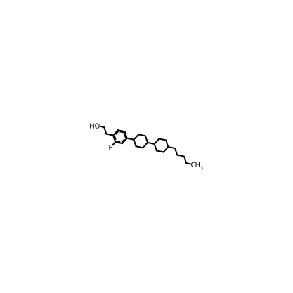 CCCCCC1CCC(C2CCC(c3ccc(CCO)c(F)c3)CC2)CC1